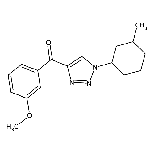 COc1cccc(C(=O)c2cn(C3CCCC(C)C3)nn2)c1